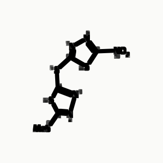 CSc1nnc(Sc2nnc([N+](=O)[O-])s2)s1